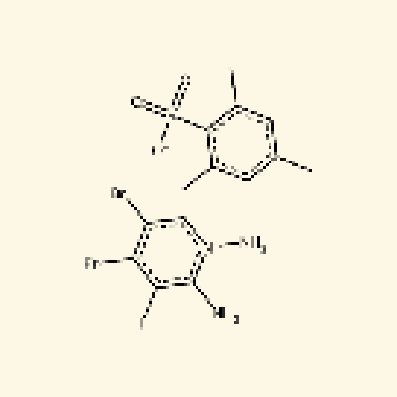 CCc1c(Br)c[n+](N)c(N)c1I.Cc1cc(C)c(S(=O)(=O)[O-])c(C)c1